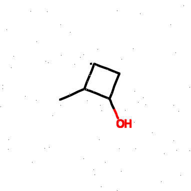 CC1[CH]CC1O